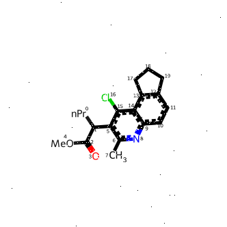 CCCC(C(=O)OC)c1c(C)nc2ccc3c(c2c1Cl)CCC3